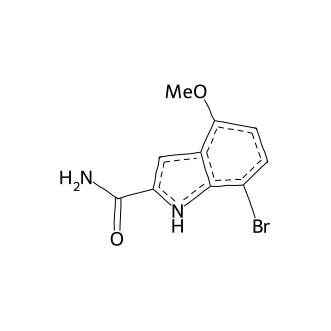 COc1ccc(Br)c2[nH]c(C(N)=O)cc12